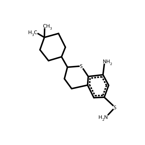 CC1(C)CCC(C2CCc3cc(SN)cc(N)c3S2)CC1